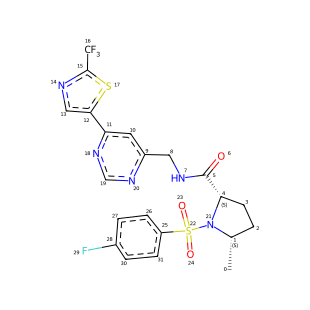 C[C@H]1CC[C@@H](C(=O)NCc2cc(-c3cnc(C(F)(F)F)s3)ncn2)N1S(=O)(=O)c1ccc(F)cc1